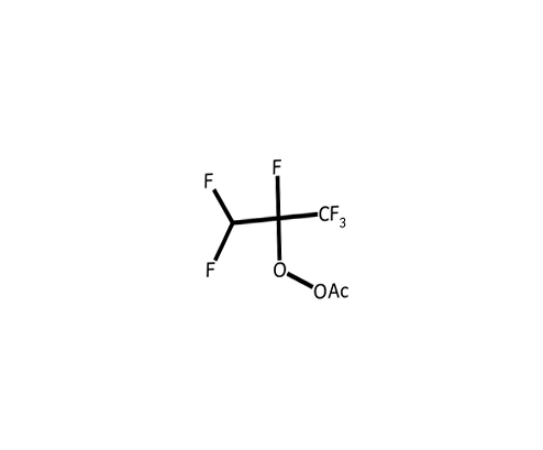 CC(=O)OOC(F)(C(F)F)C(F)(F)F